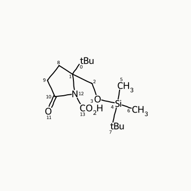 CC(C)(C)C1(CO[Si](C)(C)C(C)(C)C)CCC(=O)N1C(=O)O